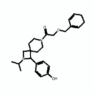 CC(C)N1CC2(CCN(C(=O)COCC3=CCCC=C3)CC2)C1c1ccc(O)cc1